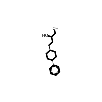 OCC(O)CC[C@H]1CC[C@H](c2ccccc2)CC1